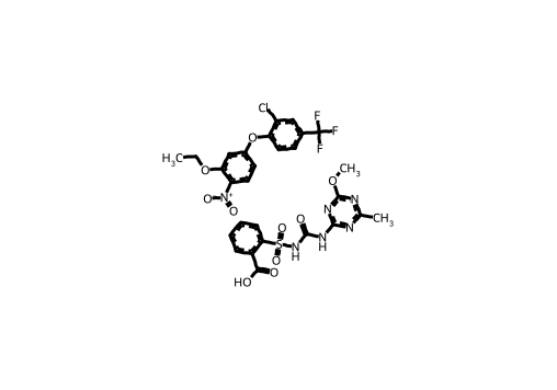 CCOc1cc(Oc2ccc(C(F)(F)F)cc2Cl)ccc1[N+](=O)[O-].COc1nc(C)nc(NC(=O)NS(=O)(=O)c2ccccc2C(=O)O)n1